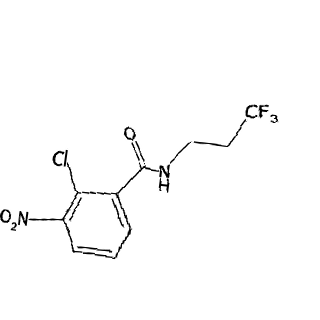 O=C(NCCC(F)(F)F)c1cccc([N+](=O)[O-])c1Cl